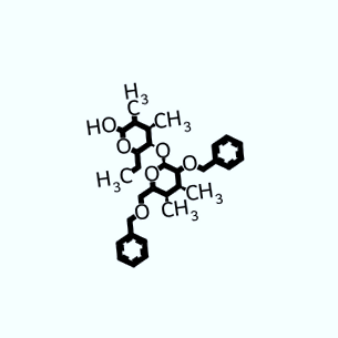 CCC1OC(O)C(C)[C@@H](C)[C@@H]1O[C@@H]1OC(COCc2ccccc2)[C@H](C)[C@H](C)C1OCc1ccccc1